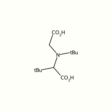 CC(C)(C)C(C(=O)O)N(CC(=O)O)C(C)(C)C